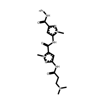 CCCNC(=O)c1cc(NC(=O)c2cc(NC(=O)CCN(C)C)nn2C)n(C)n1